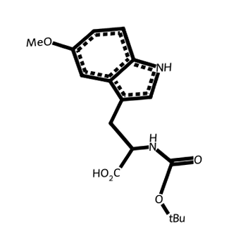 COc1ccc2[nH]cc(CC(NC(=O)OC(C)(C)C)C(=O)O)c2c1